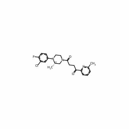 Cc1cccc(C(=O)CCC(=O)N2CCN(c3ccc(F)c(Cl)c3)[C@@H](C)C2)n1